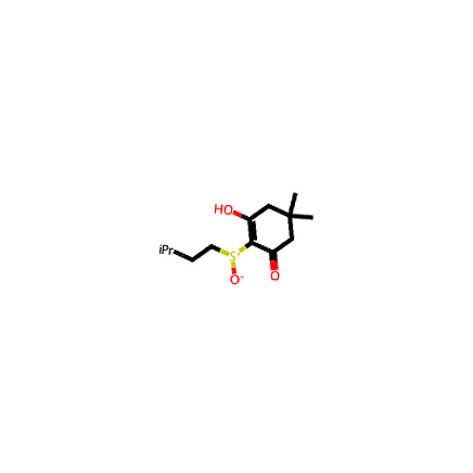 CC(C)CC[S+]([O-])C1=C(O)CC(C)(C)CC1=O